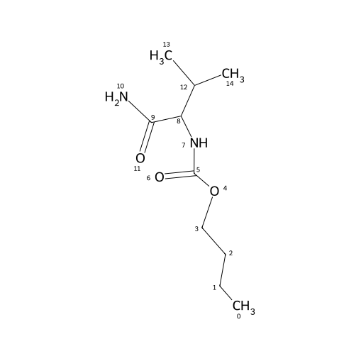 CCCCOC(=O)NC(C(N)=O)C(C)C